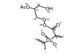 C=C(C)S(=O)(=O)C(=C)C(=O)OOCC(CO)OC(C)=O